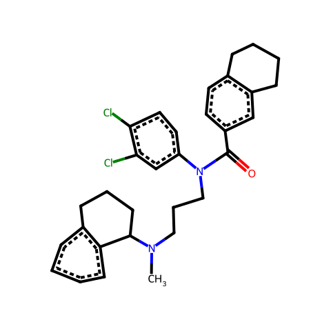 CN(CCCN(C(=O)c1ccc2c(c1)CCCC2)c1ccc(Cl)c(Cl)c1)C1CCCc2ccccc21